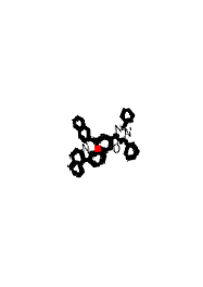 c1ccc(-c2nc(-c3ccccc3)c3oc4ccc(-c5cc6ccccc6cc5-n5c6ccccc6c6c7ccccc7ccc65)cc4c3n2)cc1